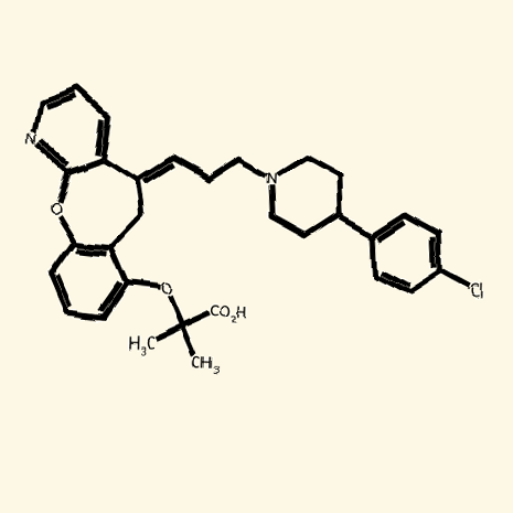 CC(C)(Oc1cccc2c1CC(=CCCN1CCC(c3ccc(Cl)cc3)CC1)c1cccnc1O2)C(=O)O